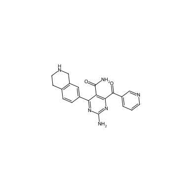 NC(=O)c1c(C(=O)c2cccnc2)nc(N)nc1-c1ccc2c(c1)CNCC2